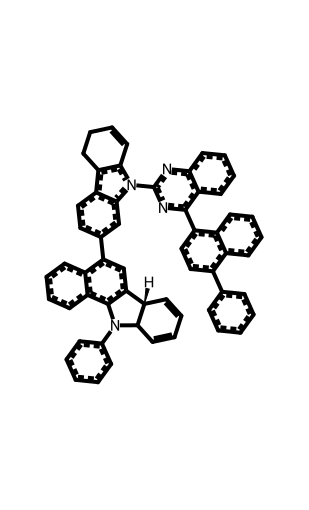 C1=CC2[C@@H](C=C1)c1cc(-c3ccc4c5c(n(-c6nc(-c7ccc(-c8ccccc8)c8ccccc78)c7ccccc7n6)c4c3)C=CCC5)c3ccccc3c1N2c1ccccc1